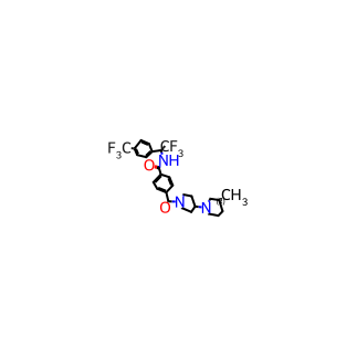 C[C@@H]1CCCN(C2CCN(C(=O)c3ccc(C(=O)NC(c4ccc(C(F)(F)F)cc4)C(F)(F)F)cc3)CC2)C1